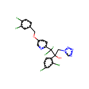 OC(Cn1cnnn1)(c1ccc(F)cc1F)C(F)(F)c1ccc(OCc2ccc(F)c(F)c2)cn1